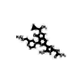 COCC1CN(c2nc(-c3sc(NC(C)=O)nc3C)cc3c2C(=O)N(C(C)C2CC2)C3)CCO1